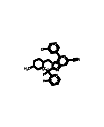 CC1CCC(Cn2c([C@@](C)(F)c3ncccc3F)nc3cc(C#N)nc(-c4cncc(Cl)c4)c32)CC1